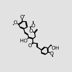 C=C(C/C(C(=O)/C=C/c1ccc(OC)c(CO)c1)=C(O)\C=C\c1ccc(OC)c(OC)c1)OCOC